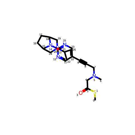 CSC(=O)CN(C)CC#Cc1cnc(N2C3CCC2CN(C(C)C)C3)nc1